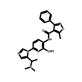 COc1nc(-n2cncc2C(C)N(C)C)ccc1NC(=O)c1c(-c2ccccc2)noc1C